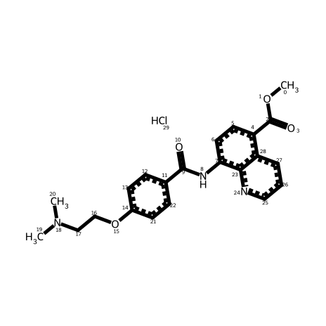 COC(=O)c1ccc(NC(=O)c2ccc(OCCN(C)C)cc2)c2ncccc12.Cl